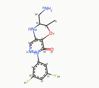 CC1Oc2c(cnn(-c3cc(F)cc(F)c3)c2=O)NC1CN